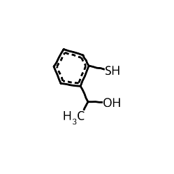 CC(O)c1ccccc1S